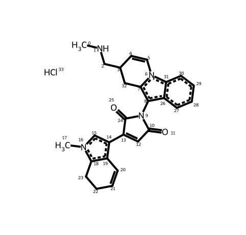 CNCC1C=Cn2c(c(N3C(=O)C=C(c4cn(C)c5c4C=CCC5)C3=O)c3ccccc32)C1.Cl